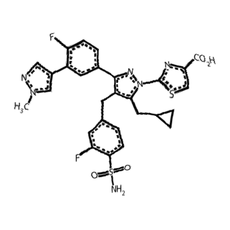 Cn1cc(-c2cc(-c3nn(-c4nc(C(=O)O)cs4)c(CC4CC4)c3Cc3ccc(S(N)(=O)=O)c(F)c3)ccc2F)cn1